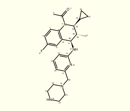 CC(=O)N1c2ccc(F)cc2[C@H](Nc2cccc(CN3CCNCC3)n2)[C@@H](C)[C@@H]1C1CC1